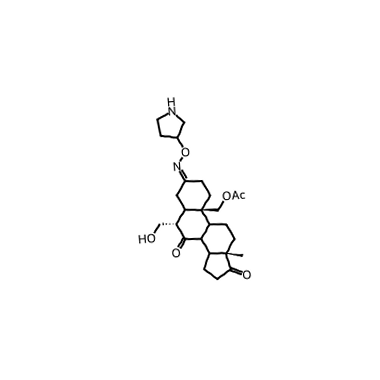 CC(=O)OC[C@]12CCC(=NOC3CCNC3)CC1[C@@H](CO)C(=O)C1C2CC[C@]2(C)C(=O)CCC12